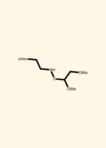 CCCCCCCC[SiH]OC(COC)OC